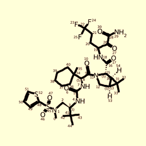 CN(C[C@@H](NC(=O)N[C@H](C(=O)N1C[C@H]2[C@@H]([C@H]1C(=O)NC(CCC(F)(F)F)C(=O)C(N)=O)C2(C)C)C1(C)CCCCC1)C(C)(C)C)S(=O)(=O)c1cccs1